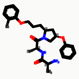 CCc1ccccc1OCCC[C@H]1C[C@H](Oc2ccccc2)CN1C(=O)[C@@H](NC(=O)[C@H](C)N)C(C)C